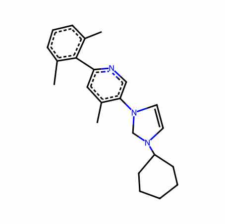 Cc1cc(-c2c(C)cccc2C)ncc1N1C=CN(C2CCCCC2)C1